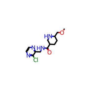 COCC1CCC(C(=O)NCc2nccnc2Cl)CN1